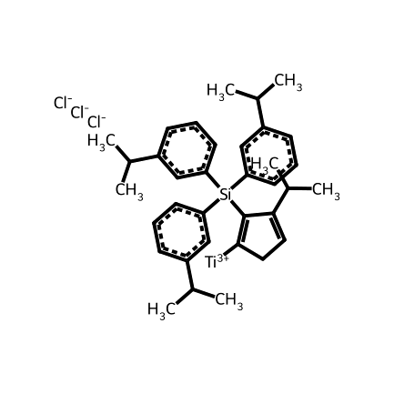 CC(C)C1=CC[C]([Ti+3])=C1[Si](c1cccc(C(C)C)c1)(c1cccc(C(C)C)c1)c1cccc(C(C)C)c1.[Cl-].[Cl-].[Cl-]